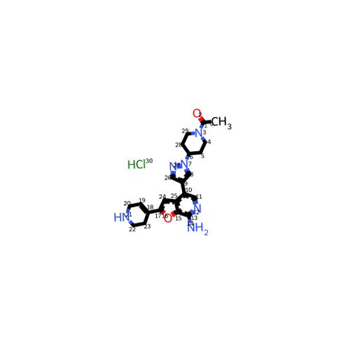 CC(=O)N1CCC(n2cc(-c3cnc(N)c4oc(C5=CCNCC5)cc34)cn2)CC1.Cl